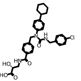 O=C(NC[C@@H](O)C(=O)O)c1ccc(CN(C(=O)NCc2ccc(Cl)cc2)c2ccc(C3CCCCC3)cc2)cc1